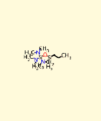 CCC[SiH2]O[Si](N(C)C)(N(C)C)N(C)C